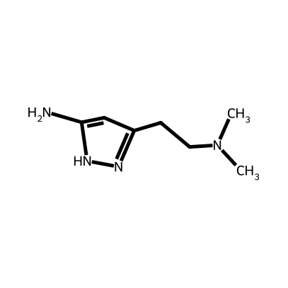 CN(C)CCc1cc(N)[nH]n1